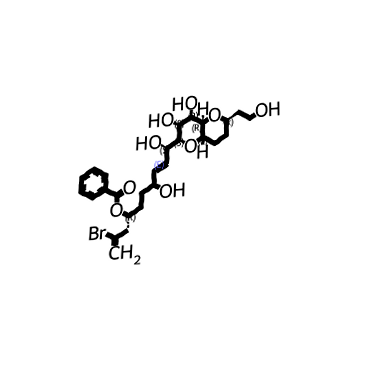 C=C(Br)C[C@@H](CCC(O)/C=C/[C@H](O)[C@@H]1O[C@H]2CC[C@H](CCO)O[C@@H]2[C@H](O)[C@@H]1O)OC(=O)c1ccccc1